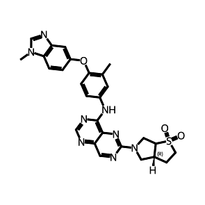 Cc1cc(Nc2ncnc3cnc(N4CC5[C@H](CCS5(=O)=O)C4)nc23)ccc1Oc1ccc2c(c1)ncn2C